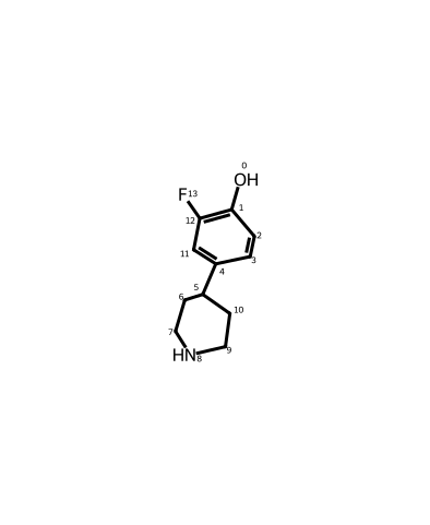 Oc1ccc(C2CCNCC2)cc1F